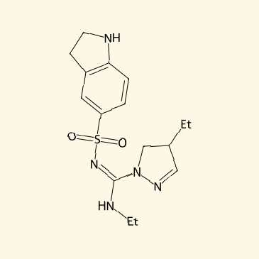 CCN/C(=N/S(=O)(=O)c1ccc2c(c1)CCN2)N1CC(CC)C=N1